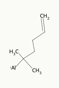 C=CCC[C](C)(C)[Al]